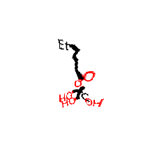 CC/C=C\CCCC(=O)OCC(CO)(CO)CO